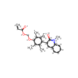 C=CC(=O)OCOc1c(C)c(C)c(-c2cc3ccccc3n(C)c2=O)c(C)c1C